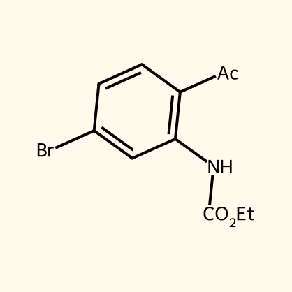 CCOC(=O)Nc1cc(Br)ccc1C(C)=O